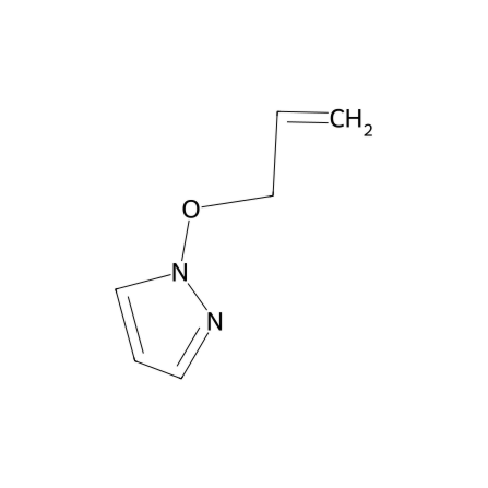 C=CCOn1cccn1